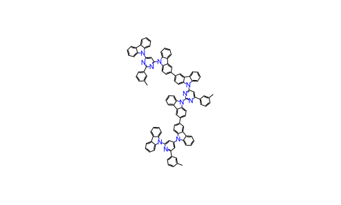 Cc1cccc(-c2cc(-n3c4ccccc4c4cc(-c5ccc6c(c5)c5ccccc5n6-c5nc(-c6cccc(C)c6)cc(-n6c7ccccc7c7cc(-c8ccc9c(c8)c8ccccc8n9-c8cc(-n9c%10ccccc%10c%10ccccc%109)nc(-c9cccc(C)c9)n8)ccc76)n5)ccc43)cc(-n3c4ccccc4c4ccccc43)n2)c1